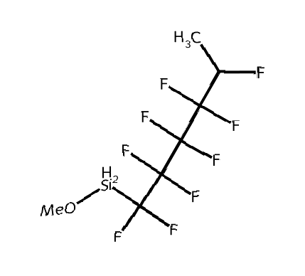 CO[SiH2]C(F)(F)C(F)(F)C(F)(F)C(F)(F)C(C)F